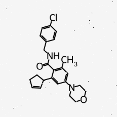 Cc1cc(N2CCOCC2)cc(C2C=CCC2)c1C(=O)NCc1ccc(Cl)cc1